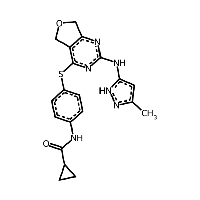 Cc1cc(Nc2nc3c(c(Sc4ccc(NC(=O)C5CC5)cc4)n2)COC3)[nH]n1